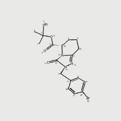 CCCC(C)(C)OC(=O)[C@@H]1CCCc2nn(Cc3ccc(Br)cc3)c(=O)n21